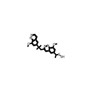 COc1cc(C(C)(C)Cc2cc3cc(C(C)SS)cc(OC)c3nn2)cc2ccnnc12